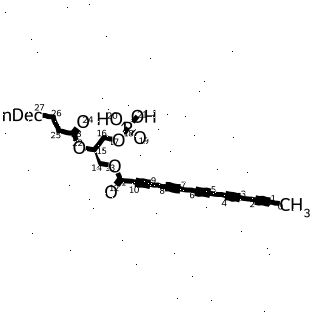 CC#CC#CC#CC#CC#CC(=O)OC[C@H](COP(=O)(O)O)OC(=O)CCCCCCCCCCCC